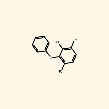 CCc1ccc(O)c(Oc2ccccc2)c1O